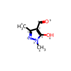 Cc1nn(C)c(O)c1C=O